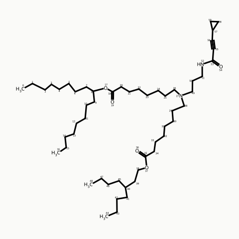 CCCCCCCCC(CCCCCCCC)OC(=O)CCCCCCCN(CCCCCCCC(=O)OCCC(CCCC)CCCC)CCCNC(=O)C#CC1CC1